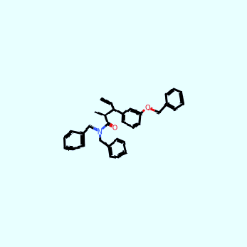 C=CC(c1cccc(OCc2ccccc2)c1)C(C)C(=O)N(Cc1ccccc1)Cc1ccccc1